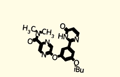 CCC(C)Oc1cc(Oc2cnc(C(=O)N(C)C)cn2)cc(-c2nccc(=O)[nH]2)c1